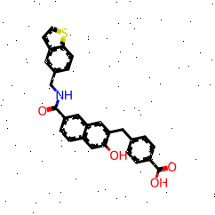 O=C(O)c1ccc(Cc2cc3cc(C(=O)NCc4ccc5sccc5c4)ccc3cc2O)cc1